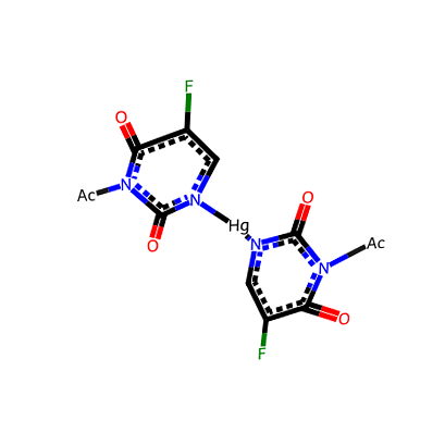 CC(=O)n1c(=O)c(F)c[n]([Hg][n]2cc(F)c(=O)n(C(C)=O)c2=O)c1=O